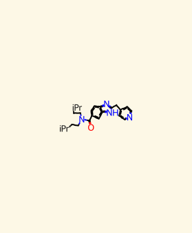 CC(C)CCN(CCC(C)C)C(=O)c1ccc2nc(Cc3ccncc3)[nH]c2c1